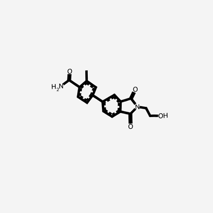 Cc1cc(-c2ccc3c(c2)C(=O)N(CCO)C3=O)ccc1C(N)=O